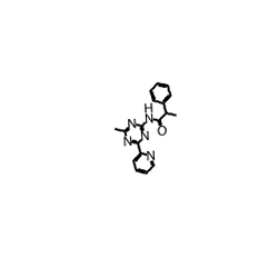 Cc1nc(NC(=O)C(C)c2ccccc2)nc(-c2ccccn2)n1